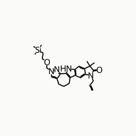 C=CCN1C(=O)C(C)(C)c2cc3[nH]c4c(c3cc21)CCCc1cn(COCC[Si](C)(C)C)nc1-4